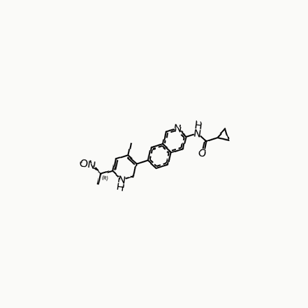 CC1=C(c2ccc3cc(NC(=O)C4CC4)ncc3c2)CNC([C@@H](C)N=O)=C1